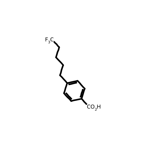 O=C(O)c1ccc(CCCCC(F)(F)F)cc1